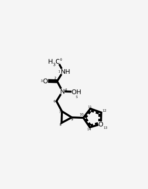 CNC(=O)N(O)CC1CC1c1ccoc1